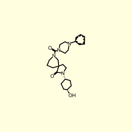 O=C(N1CCN(c2ccccc2)CC1)N1CCCC2(CCN([C@H]3CC[C@H](O)CC3)C2=O)C1